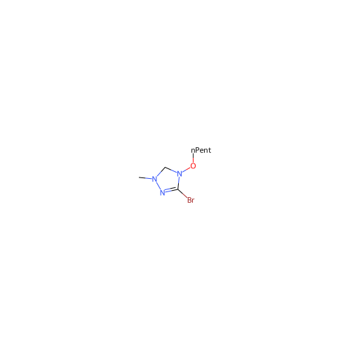 CCCCCON1CN(C)N=C1Br